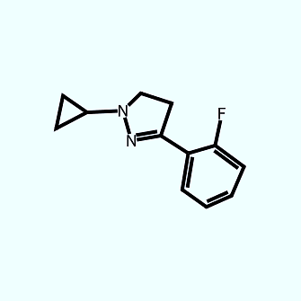 Fc1ccccc1C1=NN(C2CC2)CC1